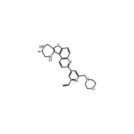 C=Cc1cc(-c2ccc3c(ccc4sc5c(c43)NC[C@@H](C)NC5)n2)cc(CN2CCOCC2)n1